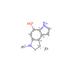 CC[C@@H]1CN(C(C)C)c2cc(O)c3[nH]ccc3c21